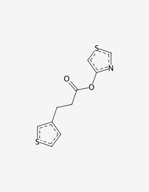 O=C(CCc1ccsc1)Oc1cscn1